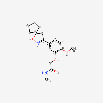 CNC(=O)COc1cc(C2=NOC3(CCCC3)C2)ccc1OC